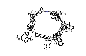 CCCC[C@H]1C(=O)N[C@@H](Cc2ccc3ccccc3c2)C(=O)N(C)[C@@H](COC(C)(C)C)C(=O)NCC(=O)N(C)CC/C=C/C(=O)OCC(C)(C)C(=O)C(=O)N2CCCC[C@H]2C(=O)O[C@H](CCc2ccc(C)c(C)c2)c2cccc(c2)OCC(=O)N1C